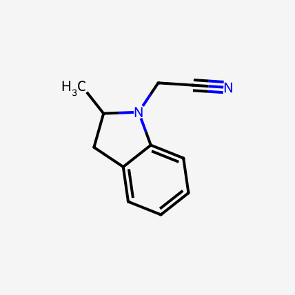 CC1Cc2ccccc2N1CC#N